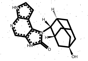 O=c1[nH]c2cnc3[nH]ccc3c2n1[C@H]1[C@@H]2CC3C[C@H]1C[C@](O)(C3)C2